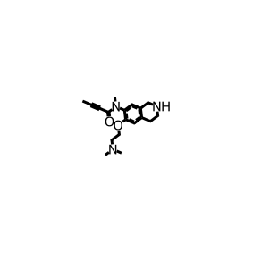 CC#CC(=O)N(C)c1cc2c(cc1OCCN(C)C)CCNC2